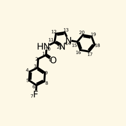 O=C(Cc1ccc(F)cc1)Nc1ccn(-c2ccccc2)n1